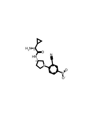 N#Cc1cc([N+](=O)[O-])ccc1N1CC[C@H](NC(=O)[C@@H](N)C2CC2)C1